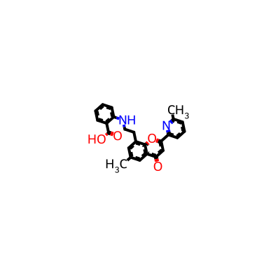 Cc1cc(CCNc2ccccc2C(=O)O)c2oc(-c3cccc(C)n3)cc(=O)c2c1